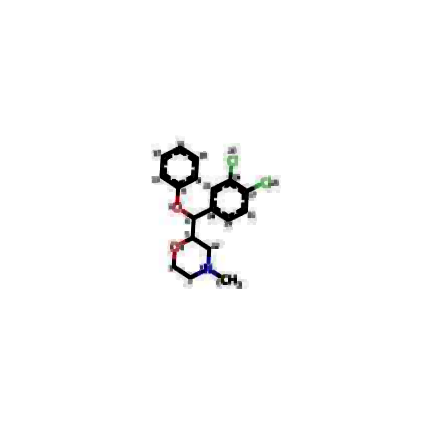 CN1CCOC(C(Oc2ccccc2)c2ccc(Cl)c(Cl)c2)C1